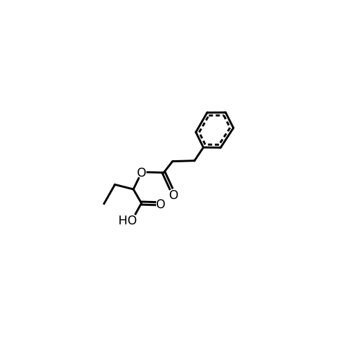 CCC(OC(=O)CCc1ccccc1)C(=O)O